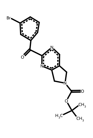 CC(C)(C)OC(=O)N1Cc2cnc(C(=O)c3cccc(Br)c3)nc2C1